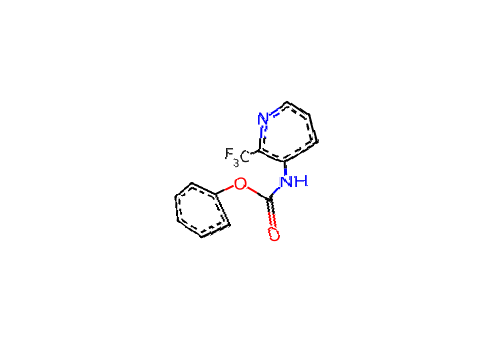 O=C(Nc1cccnc1C(F)(F)F)Oc1ccccc1